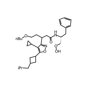 CCCCOCCC(CC(=O)N[C@@H](COO)Cc1ccccc1)c1noc(C2CC(CC(C)C)C2)c1C1CC1